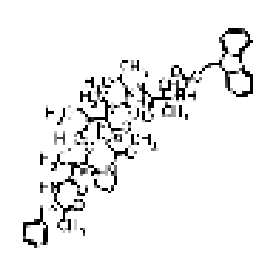 CC[C@H](C)[C@@H]([C@@H](CC(=O)N1CCC[C@H]1[C@H](OC)[C@@H](C)C(=O)N[C@@H](Cc1ccccc1)C(C)=O)OC)N(C)C(=O)[C@@H](NC(=O)C(C)(C)NC(=O)OCC1c2ccccc2-c2ccccc21)C(C)C